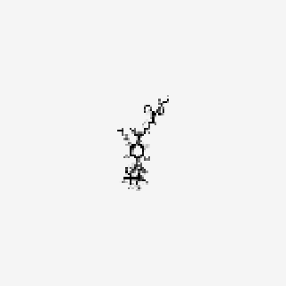 CCOC(=O)COC[C@H](N)c1ccc(B2OC(C)(C)C(C)(C)O2)cc1